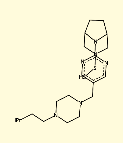 CC(C)CCN1CCN(Cc2cnc(N3C4CCC3CN(SS)C4)nc2)CC1